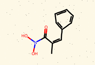 CC(=Cc1ccccc1)C(=O)N(O)O